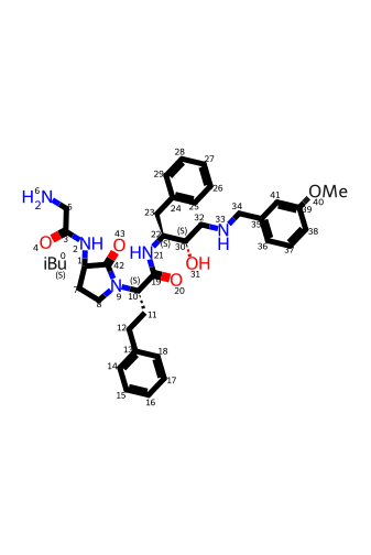 CC[C@H](C)C1(NC(=O)CN)CCN([C@@H](CCc2ccccc2)C(=O)N[C@@H](Cc2ccccc2)[C@@H](O)CNCc2cccc(OC)c2)C1=O